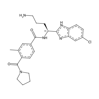 Cc1cc(C(=O)N[C@@H](CCCN)c2nc3cc(Cl)ccc3[nH]2)ccc1C(=O)N1CCCC1